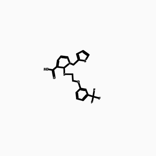 O=C(O)C1=CC=CN(Cc2cccs2)C1SCCOc1cccc(C(F)(F)F)c1